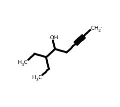 [CH2]C#CCC(O)C(CC)CC